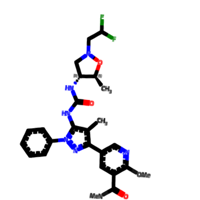 CNC(=O)c1cc(-c2nn(-c3ccccc3)c(NC(=O)N[C@@H]3CN(CC(F)F)O[C@H]3C)c2C)cnc1OC